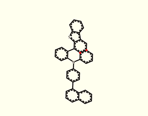 c1ccc(N(c2ccc(-c3cccc4ccccc34)cc2)c2ccccc2-c2cccc3c2sc2ccccc23)cc1